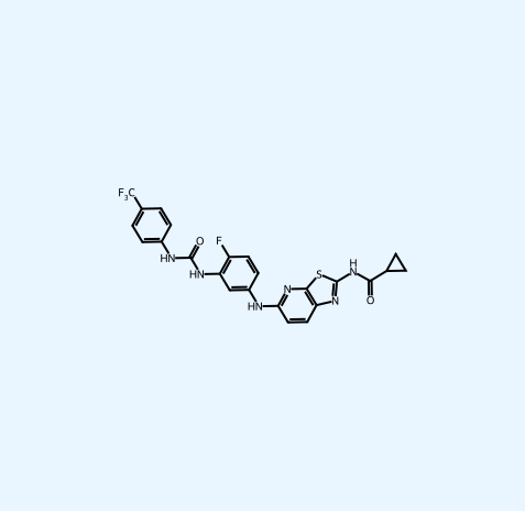 O=C(Nc1ccc(C(F)(F)F)cc1)Nc1cc(Nc2ccc3nc(NC(=O)C4CC4)sc3n2)ccc1F